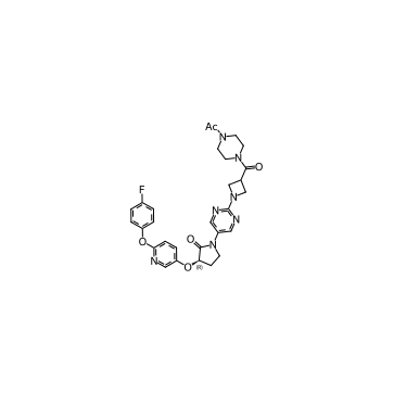 CC(=O)N1CCN(C(=O)C2CN(c3ncc(N4CC[C@@H](Oc5ccc(Oc6ccc(F)cc6)nc5)C4=O)cn3)C2)CC1